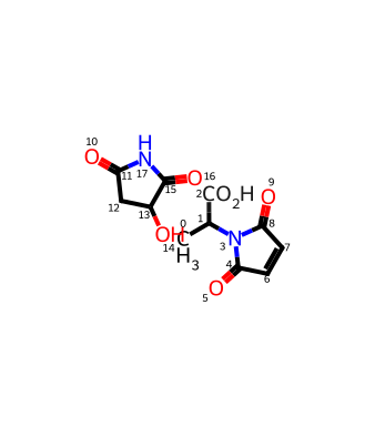 CC(C(=O)O)N1C(=O)C=CC1=O.O=C1CC(O)C(=O)N1